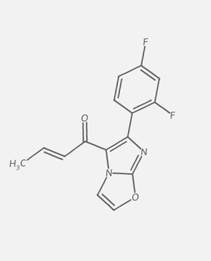 C/C=C/C(=O)c1c(-c2ccc(F)cc2F)nc2occn12